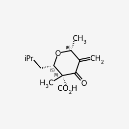 C=C1C(=O)[C@](C)(C(=O)O)[C@H](CC(C)C)O[C@@H]1C